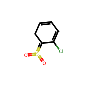 O=S(=O)=C1CC=C[C]=C1Cl